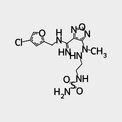 CN(NCCNS(N)(=O)=O)c1nonc1C(=N)NCc1cc(Cl)co1